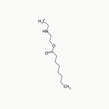 CCCCCCCC(=O)OCCNCC